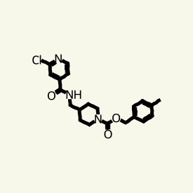 Cc1ccc(COC(=O)N2CCC(CNC(=O)c3ccnc(Cl)c3)CC2)cc1